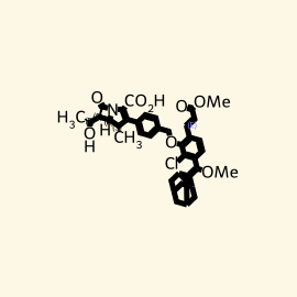 COC(=O)/C=C/c1ccc(C(OC)=C2C3CC4CC(C3)CC2C4)c(Cl)c1OCc1ccc(C2=C(C(=O)O)N3C(=O)[C@H]([C@@H](C)O)[C@H]3[C@H]2C)cc1